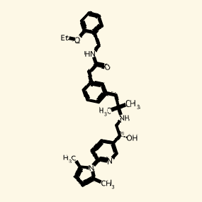 CCOc1ccccc1CNC(=O)Cc1cccc(CC(C)(C)NC[C@H](O)c2ccc(-n3c(C)ccc3C)nc2)c1